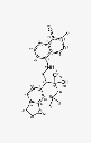 Cn1ncc2c(NCC3c4ccc5c(c4C(C)(C)CC3(O)C(F)(F)F)OCC5)cccc2c1=O